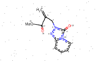 C=C(Cn1nc2ccccn2c1=O)C(=O)OC